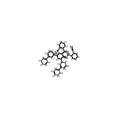 N#Cc1ccccc1-c1nc(-c2ccccc2C#N)c2cc(-c3cccc(C4=CCCC=C4)c3)cc(C3C=C(C4=CC=CCC4)C=CC3)c2n1